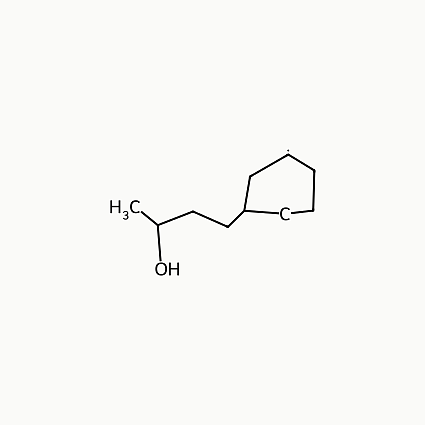 CC(O)CCC1C[CH]CCC1